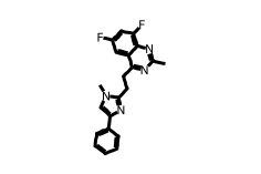 Cc1nc(CCc2nc(-c3ccccc3)cn2C)c2cc(F)cc(F)c2n1